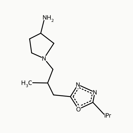 CC(Cc1nnc(C(C)C)o1)CN1CCC(N)C1